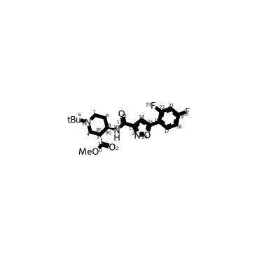 COC(=O)[C@@H]1CN(C(C)(C)C)CC[C@H]1NC(=O)c1cc(-c2ccc(F)cc2F)on1